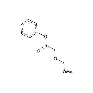 COCOCC(=O)Oc1ccccc1